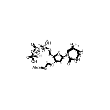 CSSCO[C@H]1C[C@H](N2C=C(C)C3OC3NC2=O)O[C@@H]1COP(=O)(O)OP(=O)(O)OP(=O)(O)O